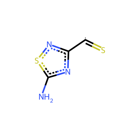 Nc1nc([C]=S)ns1